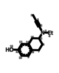 CC#CN(CC)C1CCc2ccc(O)cc2C1